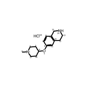 CN1CCC(Oc2ccc3c(c2)CCNC3)CC1.Cl